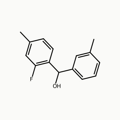 Cc1cccc(C(O)c2ccc(C)cc2F)c1